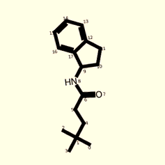 CC(C)(C)CCC(=O)NC1CCc2ccccc21